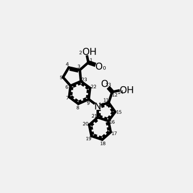 O=C(O)C1=CCc2ccc(-n3c(C(=O)O)cc4ccccc43)cc21